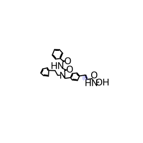 O=C(/C=C/c1ccc(CN(CCc2ccccc2)C(=O)NC(=O)c2ccccc2)cc1)NO